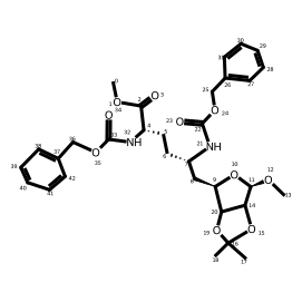 COC(=O)[C@H](CC[C@@H](C[C@H]1O[C@@H](OC)C2OC(C)(C)OC21)NC(=O)OCc1ccccc1)NC(=O)OCc1ccccc1